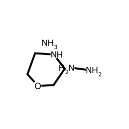 C1COCCN1.N.NN